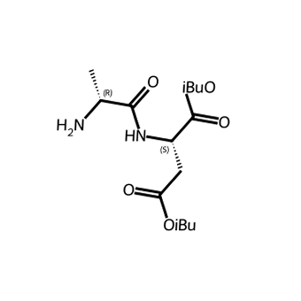 CC(C)COC(=O)C[C@H](NC(=O)[C@@H](C)N)C(=O)OCC(C)C